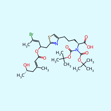 C/C(Br)=C\C(Cc1nc(CCC[C@@H](C(=O)O)N(C(=O)OC(C)(C)C)C(=O)OC(C)(C)C)cs1)OC(=O)/C=C(\C)C[C@H](C)O